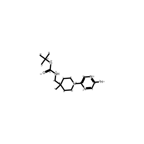 [2H]c1cnc(N2CCC(C)(CNC(=O)OC(C)(C)C)CC2)cn1